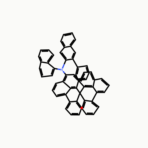 c1ccc(-c2cc3ccccc3cc2N(c2cccc3ccccc23)c2ccc3c4c(cccc24)-c2ccccc2C32c3ccccc3-c3cccc4cccc2c34)cc1